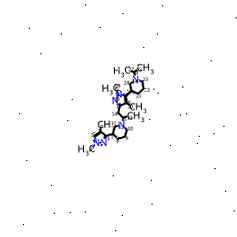 Cc1cn(C)nc1C1CCCN(C(C)Cc2nn(C)c(C3CCCN(C(C)C)C3)c2C)C1